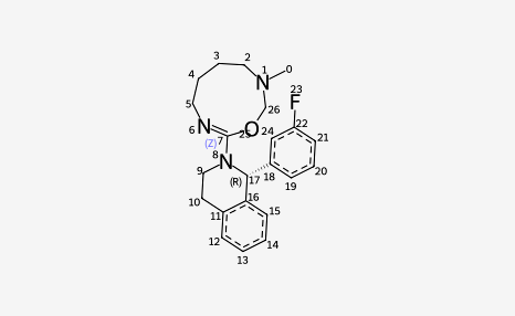 CN1CCCC/N=C(/N2CCc3ccccc3[C@H]2c2cccc(F)c2)OC1